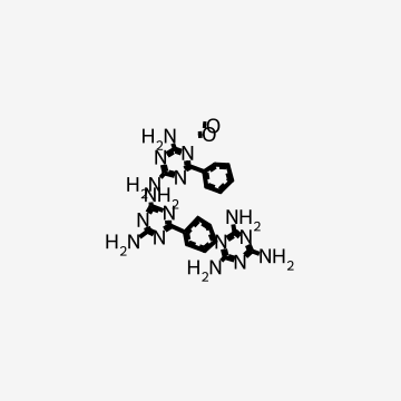 C=O.C=O.Nc1nc(N)nc(-c2ccccc2)n1.Nc1nc(N)nc(-c2ccccc2)n1.Nc1nc(N)nc(N)n1